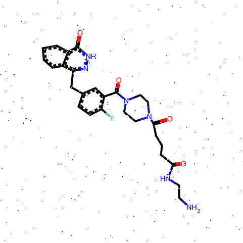 NCCNC(=O)CCCC(=O)N1CCN(C(=O)c2cc(Cc3n[nH]c(=O)c4ccccc34)ccc2F)CC1